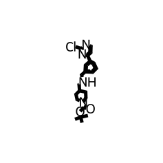 CC(C)(C)OC(=O)N1CCC(CNCc2cccc(-c3ccnc(Cl)n3)c2)CC1